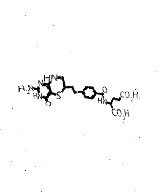 Nc1nc2c(c(=O)[nH]1)SC(CCc1ccc(C(=O)NC(CCC(=O)O)C(=O)O)cc1)CN2